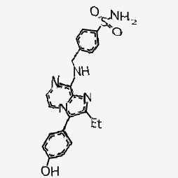 CCc1nc2c(NCc3ccc(S(N)(=O)=O)cc3)nccn2c1-c1ccc(O)cc1